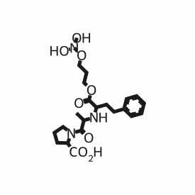 CC(NC(CCc1ccccc1)C(=O)OCCCON(O)O)C(=O)N1CCCC1C(=O)O